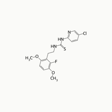 COc1ccc(OC)c(CCNC(=S)Nc2ccc(Cl)cn2)c1F